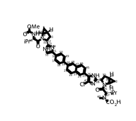 COC(=O)N[C@H](C(=O)N1[C@@H]2C[C@@H]2C[C@H]1c1nc(-c2ccc(-c3ccc4cc(-c5[nH]c([C@@H]6C[C@H]7C[C@H]7N6C(=O)[C@H](C(C)C)N(C)C(=O)O)nc5Cl)ccc4c3)cc2)c[nH]1)C(C)C